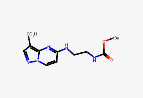 CC(C)(C)OC(=O)NCCNc1ccn2ncc(C(=O)O)c2n1